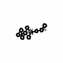 c1ccc(-c2nc(-c3ccc(-c4ccc5sc6ccccc6c5c4)cc3)nc(-c3ccccc3-c3ccc4c(c3)C3(c5ccccc5-c5ccccc53)c3ccccc3-4)n2)cc1